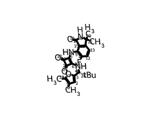 Cc1cc([C@H](Nc2c(Nc3c(F)ccc4c3C(=O)NC4(C)C)c(=O)c2=O)C(C)(C)C)oc1C